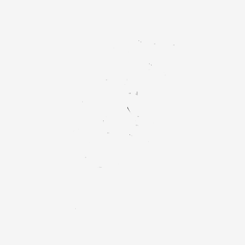 CCc1ccc(-c2sc(C)nc2C(=O)N2CC[C@@H]2CNC(=O)c2c(C)nc3sccn23)cc1